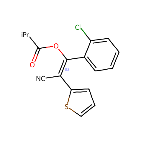 CC(C)C(=O)O/C(=C(\C#N)c1cccs1)c1ccccc1Cl